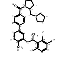 CC(Oc1cc(-c2ccc(C(=O)N3CCCC3CN3CCCC3)cc2)cnc1N)c1c(F)ccc(F)c1Cl